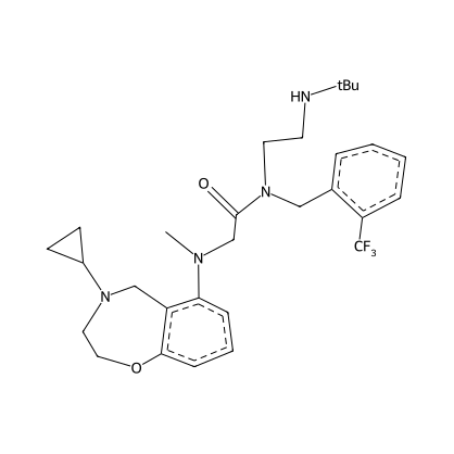 CN(CC(=O)N(CCNC(C)(C)C)Cc1ccccc1C(F)(F)F)c1cccc2c1CN(C1CC1)CCO2